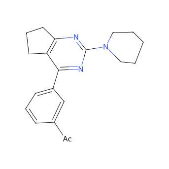 CC(=O)c1cccc(-c2nc(N3CCCCC3)nc3c2CCC3)c1